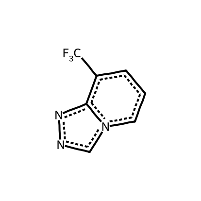 FC(F)(F)c1cccn2cnnc12